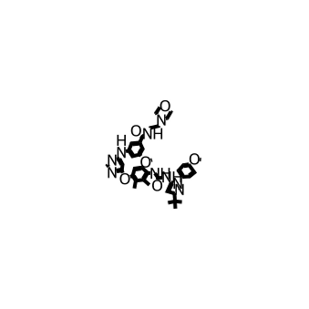 COc1ccc(-n2nc(C(C)(C)C)cc2NC(=O)Nc2ccc(Oc3cc(Nc4cc(OC)cc(C(=O)NCCN5CCOCC5)c4)ncn3)c(C)c2C)cc1